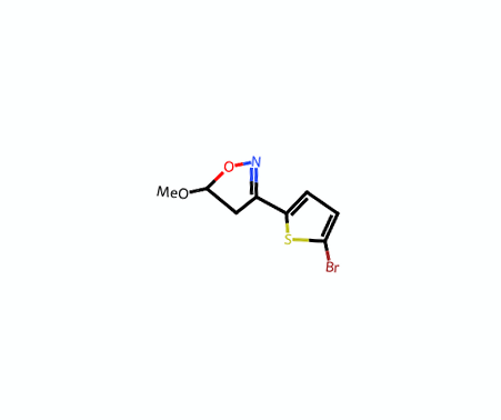 COC1CC(c2ccc(Br)s2)=NO1